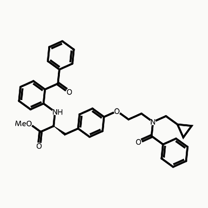 COC(=O)[C@H](Cc1ccc(OCCN(CC2CC2)C(=O)c2ccccc2)cc1)Nc1ccccc1C(=O)c1ccccc1